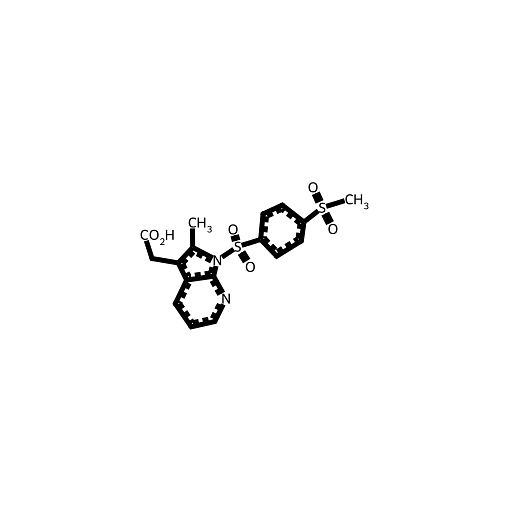 Cc1c(CC(=O)O)c2cccnc2n1S(=O)(=O)c1ccc(S(C)(=O)=O)cc1